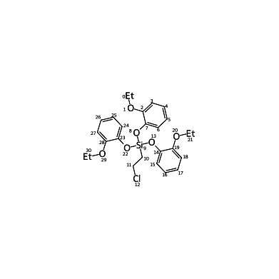 CCOc1ccccc1O[Si](CCCl)(Oc1ccccc1OCC)Oc1ccccc1OCC